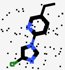 CCc1ccc(-n2cnc(Cl)c2)nc1